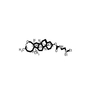 CCN(CC)CCNC(=O)O[C@H]1CC[C@@]2(C)C(=CC[C@H]3[C@@H]4C[C@@H]5COC[C@@H](C)CC[C@@H](C)[C@@H]5[C@@]4(C)CC[C@@H]32)C1